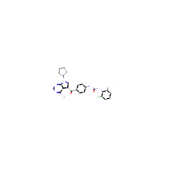 Cc1cccc(Cl)c1NC(=O)Nc1ccc(C(=O)c2cn(C3CCCC3)c3ncnc(N)c23)cc1